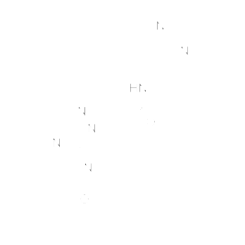 CCCCc1c(C(=O)NCc2cncn2C)cnn1-c1ncc(C)c(OCC)n1